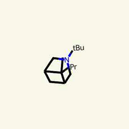 CC(C)C1(C)C2CC1CN(C(C)(C)C)C2